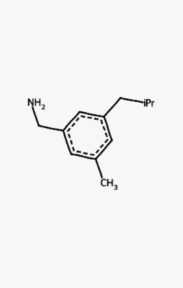 Cc1cc(CN)cc(CC(C)C)c1